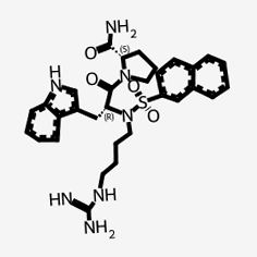 N=C(N)NCCCCN([C@H](Cc1c[nH]c2ccccc12)C(=O)N1CCC[C@H]1C(N)=O)S(=O)(=O)c1ccc2ccccc2c1